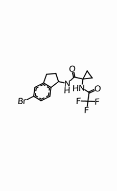 O=C(NC1(C(=O)NC2CCc3cc(Br)ccc32)CC1)C(F)(F)F